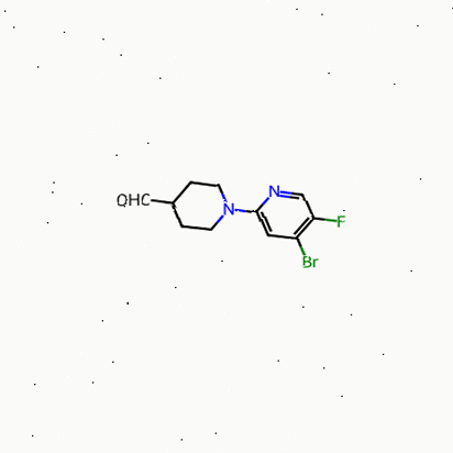 O=CC1CCN(c2cc(Br)c(F)cn2)CC1